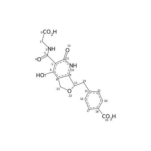 O=C(O)CNC(=O)c1c(O)c2c([nH]c1=O)C(Cc1ccc(C(=O)O)cc1)OC2